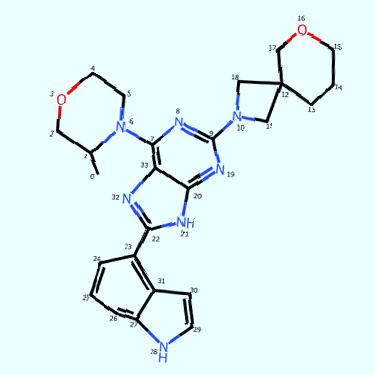 CC1COCCN1c1nc(N2CC3(CCCOC3)C2)nc2[nH]c(-c3cccc4[nH]ccc34)nc12